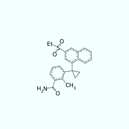 CCS(=O)(=O)c1cc(C2(c3cccc(C(N)=O)c3C)CC2)c2ccccc2c1